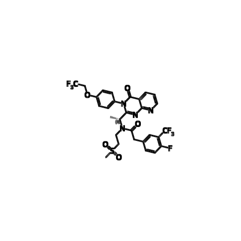 C[C@H](c1nc2ncccc2c(=O)n1-c1ccc(OCC(F)(F)F)cc1)N(CCS(C)(=O)=O)C(=O)Cc1ccc(F)c(C(F)(F)F)c1